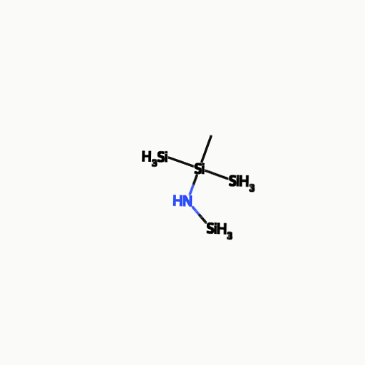 C[Si]([SiH3])([SiH3])N[SiH3]